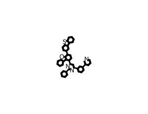 c1ccc(-c2nc(-c3cccc(-c4cccnc4)c3)cc(-c3ccc(-c4ccc5sc6ccccc6c5c4)c4oc5ccccc5c34)n2)cc1